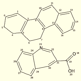 C1=CC2=C(CC1)CCc1c2ccc2ccccc12.O=C(O)c1cnc2ccccc2c1